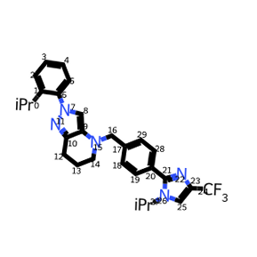 CC(C)c1ccccc1-n1cc2c(n1)CCCN2Cc1ccc(-c2nc(C(F)(F)F)cn2C(C)C)cc1